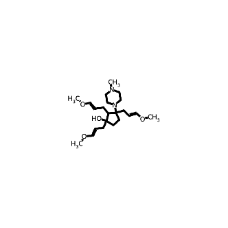 COC=CCC1C(O)(CC=COC)CCC1(CC=COC)N1CCN(C)CC1